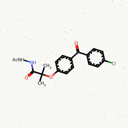 CC(=O)NNC(=O)C(C)(C)Oc1ccc(C(=O)c2ccc(Cl)cc2)cc1